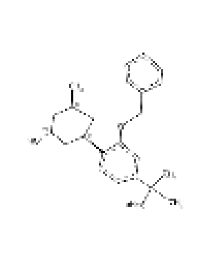 CCCCCCC(C)(C)c1ccc([C@@H]2C[C@H](C)C[C@@H](O)C2)c(OCc2ccccc2)c1